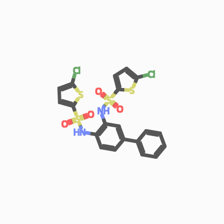 O=S(=O)(Nc1ccc(-c2ccccc2)cc1NS(=O)(=O)c1ccc(Cl)s1)c1ccc(Cl)s1